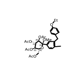 CCOc1ccc(Cc2cc([C@]3(OC)O[C@H](COC(C)=O)[C@@H](OC(C)=O)[C@H](OC(C)=O)[C@H]3OC(C)=O)ccc2C)cc1